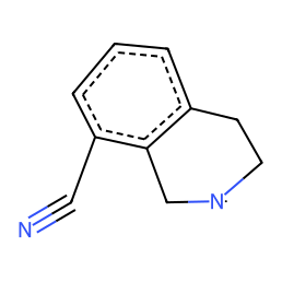 N#Cc1cccc2c1C[N]CC2